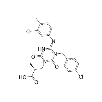 Cc1ccc(/N=c2\[nH]c(=O)n(C[C@H](C)C(=O)O)c(=O)n2Cc2ccc(Cl)cc2)cc1Cl